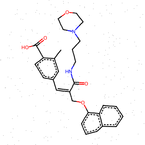 Cc1cc(C=C(COc2cccc3ccccc23)C(=O)NCCCN2CCOCC2)ccc1C(=O)O